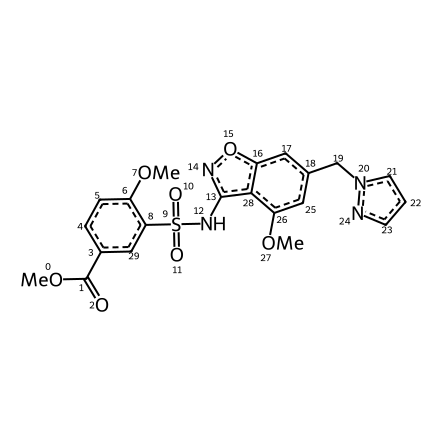 COC(=O)c1ccc(OC)c(S(=O)(=O)Nc2noc3cc(Cn4cccn4)cc(OC)c23)c1